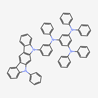 c1ccc(N(c2ccccc2)c2cc(N(c3ccccc3)c3ccccc3)cc(N(c3ccccc3)c3cccc(-n4c5ccccc5c5cc6c7ccccc7n(-c7ccccc7)c6cc54)c3)c2)cc1